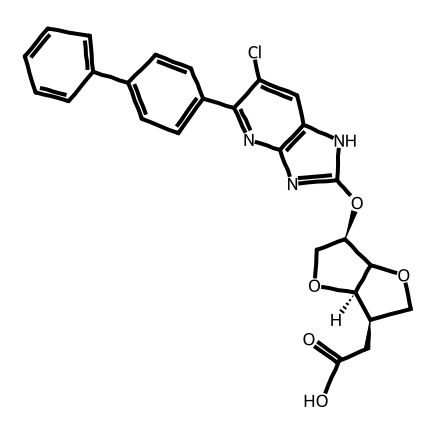 O=C(O)C[C@@H]1COC2[C@H](Oc3nc4nc(-c5ccc(-c6ccccc6)cc5)c(Cl)cc4[nH]3)CO[C@@H]21